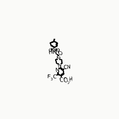 Cc1ccc(S(=O)(=O)NC(=O)N2CCN(c3nc(C(F)(F)F)c(C(=O)O)cc3C#N)CC2)cc1